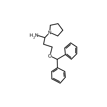 NC(CCOC(c1ccccc1)c1ccccc1)N1CCCC1